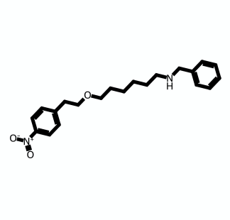 O=[N+]([O-])c1ccc(CCOCCCCCCNCc2ccccc2)cc1